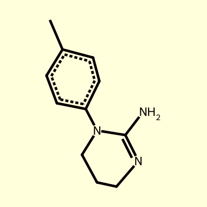 Cc1ccc(N2CCCN=C2N)cc1